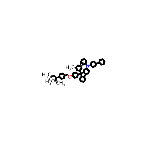 Cc1cc(C)cc(C2(c3ccc(OCc4ccc(C(CC(C)C)C(C)C)cc4)cc3)c3ccccc3-c3ccc(N(c4ccccc4)c4ccc(-c5ccccc5)cc4)cc32)c1